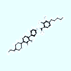 CCCCCc1ccc(C(=O)Oc2ccc(-c3ccc(C4CCC(CCC)CC4)c(F)c3F)cc2)c(F)c1F